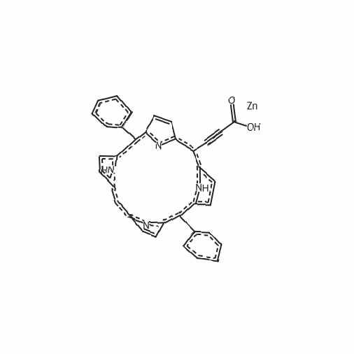 O=C(O)C#Cc1c2nc(c(-c3ccccc3)c3ccc(cc4nc(c(-c5ccccc5)c5ccc1[nH]5)C=C4)[nH]3)C=C2.[Zn]